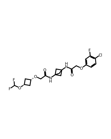 O=C(COc1ccc(Cl)c(F)c1)NC12CC(NC(=O)CO[C@H]3C[C@H](OC(F)F)C3)(C1)C2